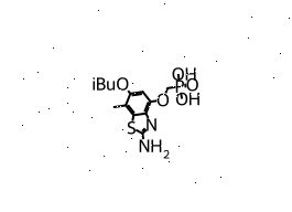 Cc1c(OCC(C)C)cc(OCP(=O)(O)O)c2nc(N)sc12